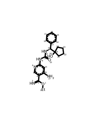 CCOC(=N)c1cnc(NC(=O)N[C@@H](c2ccccc2)C2(O)CCCC2)cc1N